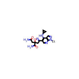 CCn1ncc2c(NC3CC3)c(C3=NOC(CC(N)=O)(C(N)=O)C3)cnc21